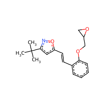 CC(C)(C)c1cc(C=Cc2ccccc2OCC2CO2)on1